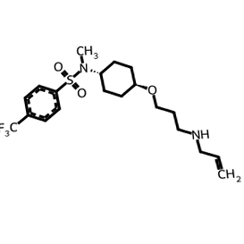 C=CCNCCCO[C@H]1CC[C@H](N(C)S(=O)(=O)c2ccc(C(F)(F)F)cc2)CC1